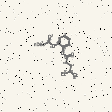 CCCCCCCCCCC(=O)Oc1ccccc1OC(=O)CCC(CC)CC